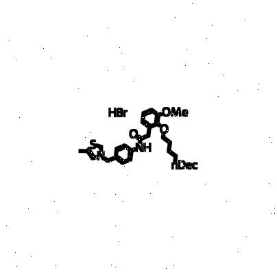 Br.CCCCCCCCCCCCCCOc1c(CC(=O)Nc2ccc(CN3C=C(C)SC3)cc2)cccc1OC